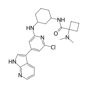 CN(C)C1(C(=O)NC2CCCC(Nc3cc(-c4c[nH]c5ncccc45)cc(Cl)n3)C2)CCC1